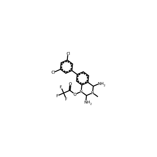 CN1C(N)c2ccc(-c3cc(Cl)cc(Cl)c3)cc2N(OC(=O)C(F)(F)F)C1N